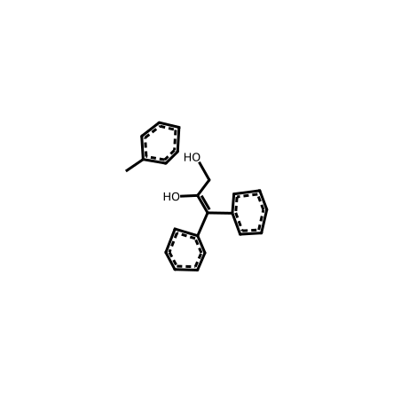 Cc1ccccc1.OCC(O)=C(c1ccccc1)c1ccccc1